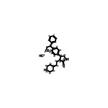 Cl.O=C(O)CC(c1ccccc1)c1ccc(C2CNC(=O)N2CCC2CCNCC2)cc1